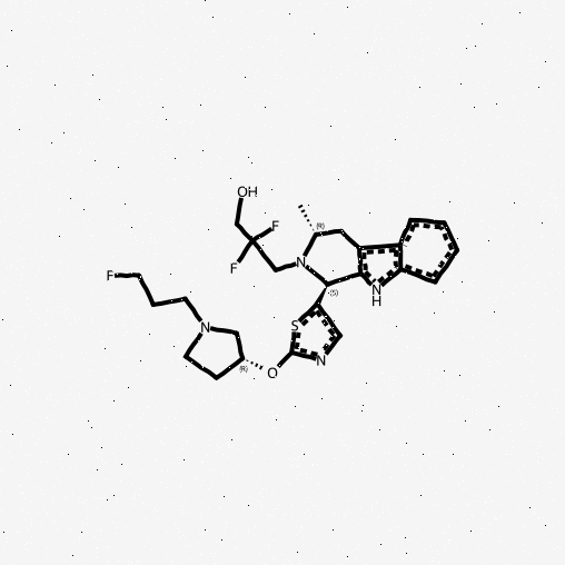 C[C@@H]1Cc2c([nH]c3ccccc23)[C@@H](c2cnc(O[C@@H]3CCN(CCCF)C3)s2)N1CC(F)(F)CO